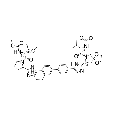 COC(=O)N[C@H](C(=O)N1CC2(C[C@H]1c1ncc(-c3ccc(-c4ccc5c(ccc6nc(C7CCCN7C(=O)[C@@H](NC(=O)OC)[C@@H](C)OC)[nH]c65)c4)cc3)[nH]1)OCCO2)C(C)C